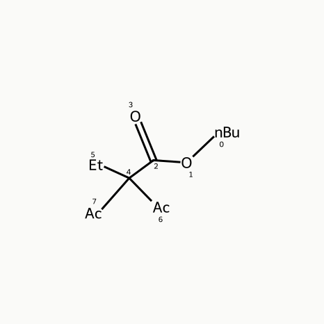 CCCCOC(=O)C(CC)(C(C)=O)C(C)=O